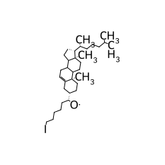 CC(C)CCC[C@@H](C)[C@H]1CCC2C3CC=C4C[C@@H](C([O])CCCCCI)CC[C@]4(C)C3CC[C@@]21C